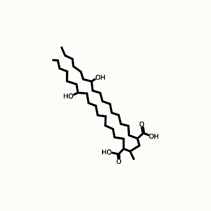 CCCCCCC(O)CCCCCCCCCC(CC(C)C(CCCCCCCCCC(O)CCCCCC)C(=O)O)C(=O)O